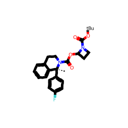 CC(C)(C)OC(=O)N1CCC1OC(=O)N1CCc2ccccc2[C@]1(C)c1ccc(F)cc1